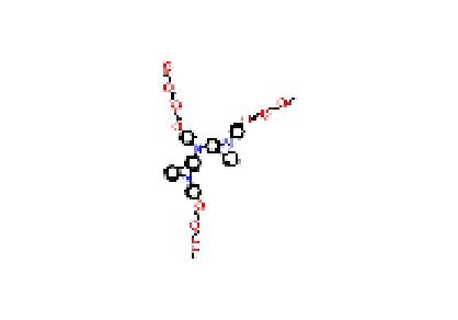 CCOCCOCCOc1ccc(N2c3ccc(N(c4ccc(OCCOCCOCCOC)cc4)c4ccc5c(c4)c4ccccc4n5-c4ccc(OCCOCCOCC)cc4)cc3C3C=CC=CC32)cc1